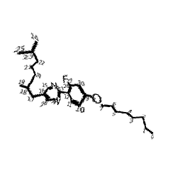 CCCCCCCCOc1ccc(-c2ncc(CC(C)CCCC(C)C)cn2)c(F)c1